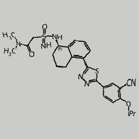 CC(C)Oc1ccc(-c2nnc(-c3cccc4c3CCC[C@H]4NS(=N)(=O)CC(=O)N(C)C)s2)cc1C#N